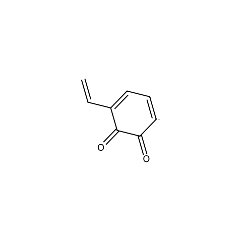 C=CC1=CC=[C]C(=O)C1=O